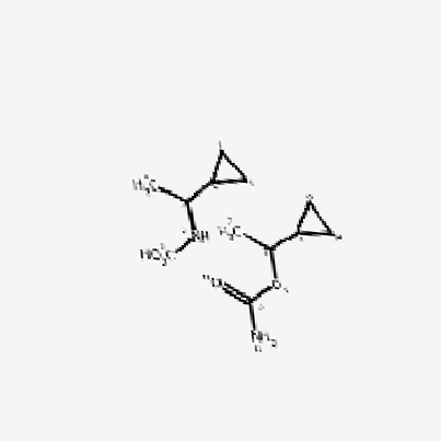 CC(NC(=O)O)C1CC1.CC(OC(N)=O)C1CC1